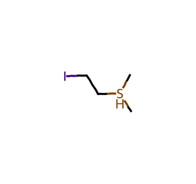 C[SH](C)CCI